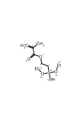 C=C(C)C(=O)OCC[Si](CCC)(OCC)OCC